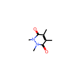 Cc1c(C)c(=O)n(C)n(C)c1=O